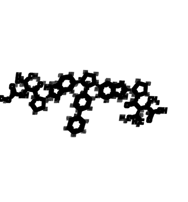 COC(=O)N[C@H](C(=O)N1CCC[C@H]1c1nc2cc([C@H]3CC[C@H](c4ccc5[nH]c([C@@H]6CCCN6C(=O)[C@H](C(C)C)N(C)C(=O)O)nc5c4)N3c3ccc(-c4ccccc4)cc3)ccc2[nH]1)C(C)C